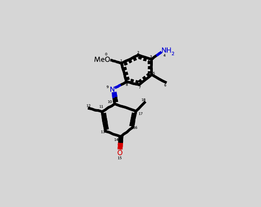 COc1cc(N)c(C)cc1N=C1C(C)=CC(=O)C=C1C